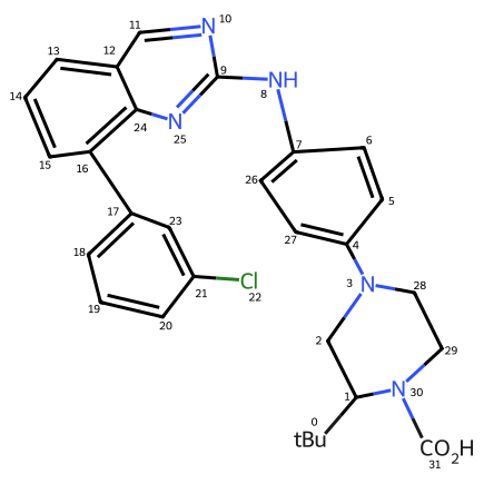 CC(C)(C)C1CN(c2ccc(Nc3ncc4cccc(-c5cccc(Cl)c5)c4n3)cc2)CCN1C(=O)O